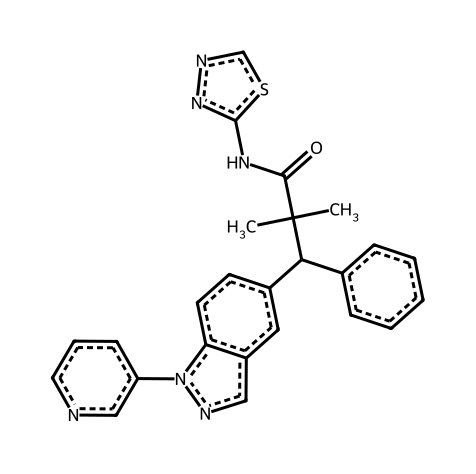 CC(C)(C(=O)Nc1nncs1)C(c1ccccc1)c1ccc2c(cnn2-c2cccnc2)c1